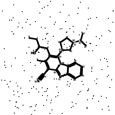 CCC(O)Cc1c(C)c(C#N)c2nc3ccccc3n2c1N1CC[C@H](N(C)C)C1